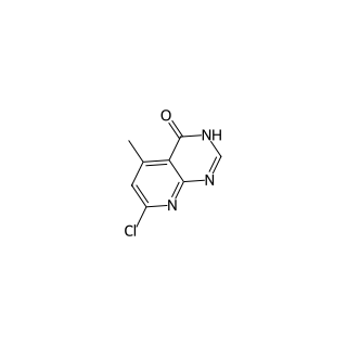 Cc1cc(Cl)nc2nc[nH]c(=O)c12